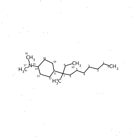 CCCCCCCC(C)(CC)C1CCC(N(C)C)CC1